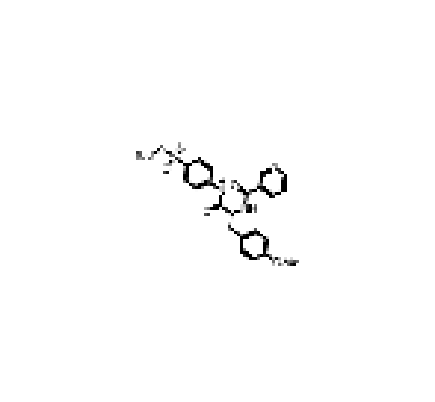 COc1ccc(C[C@H](NC(=O)c2cccnc2)C(=O)Nc2ccc(S(=O)(=O)NC(C)(C)C)cc2)cc1